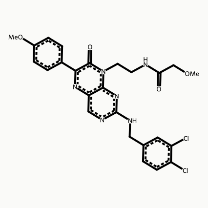 COCC(=O)NCCn1c(=O)c(-c2ccc(OC)cc2)nc2cnc(NCc3ccc(Cl)c(Cl)c3)nc21